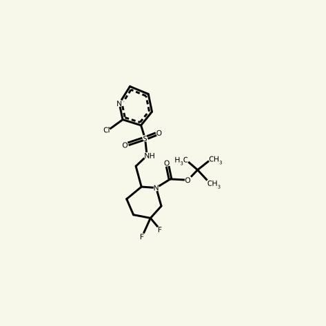 CC(C)(C)OC(=O)N1CC(F)(F)CCC1CNS(=O)(=O)c1cccnc1Cl